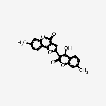 Cc1ccc2c(O)c(-c3cc4c(=O)oc5cc(C)ccc5c4o3)c(=O)oc2c1